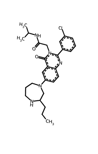 CCCC1CN(c2ccc3nc(-c4cccc(Cl)c4)n(CC(=O)NC(C)C)c(=O)c3c2)CCCN1